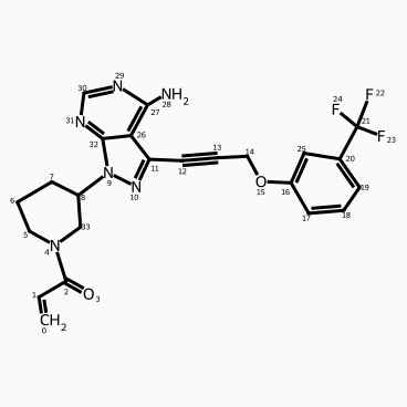 C=CC(=O)N1CCCC(n2nc(C#CCOc3cccc(C(F)(F)F)c3)c3c(N)ncnc32)C1